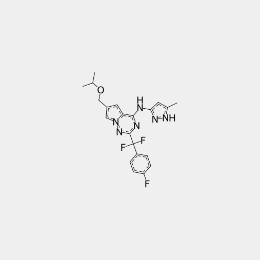 Cc1cc(Nc2nc(C(F)(F)c3ccc(F)cc3)nn3cc(COC(C)C)cc23)n[nH]1